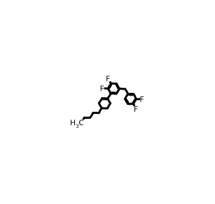 CCCCCC1CC=C(c2cc(Cc3ccc(F)c(F)c3)cc(F)c2F)CC1